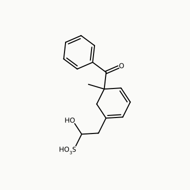 CC1(C(=O)c2ccccc2)C=CC=C(CC(O)S(=O)(=O)O)C1